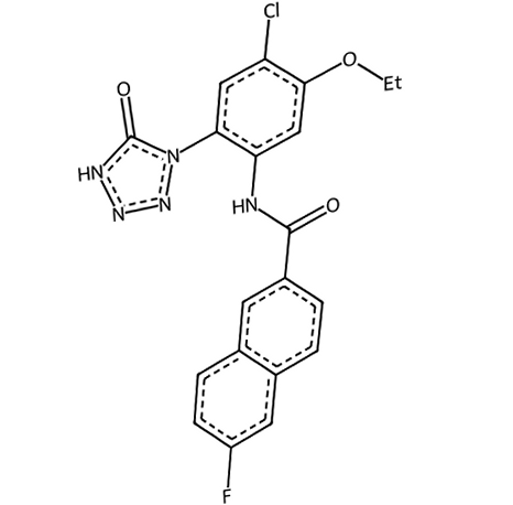 CCOc1cc(NC(=O)c2ccc3cc(F)ccc3c2)c(-n2nn[nH]c2=O)cc1Cl